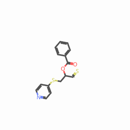 O=C(OC([C]=S)CSc1ccncc1)c1ccccc1